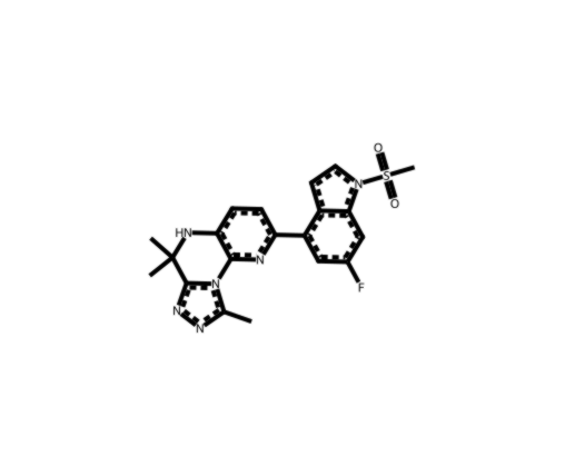 Cc1nnc2n1-c1nc(-c3cc(F)cc4c3ccn4S(C)(=O)=O)ccc1NC2(C)C